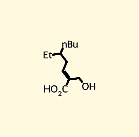 CCCCC(CC)CC=C(CO)C(=O)O